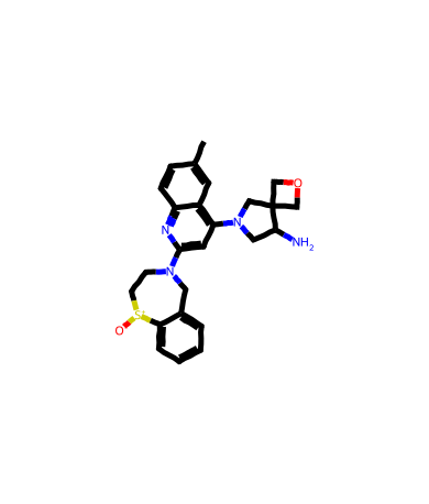 Cc1ccc2nc(N3CC[S+]([O-])c4ccccc4C3)cc(N3CC(N)C4(COC4)C3)c2c1